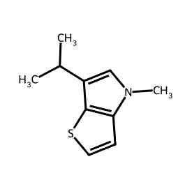 CC(C)c1cn(C)c2ccsc12